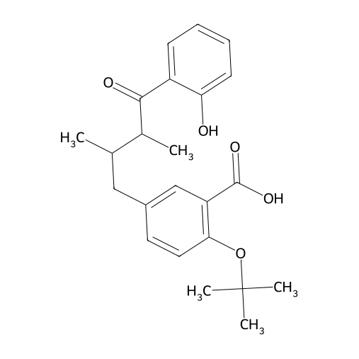 CC(Cc1ccc(OC(C)(C)C)c(C(=O)O)c1)C(C)C(=O)c1ccccc1O